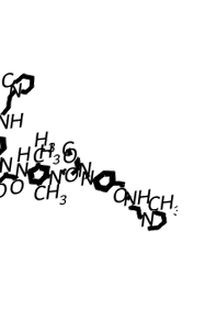 CO/C=C(/N=Nc1ccc(CONCCCN2CCCCC2C)cc1)O/C=N/c1cc(C)c(NC(=O)C(N=Nc2ccc(C(=O)NCCCN3CCCCC3C)cc2)C(C)=O)cc1C